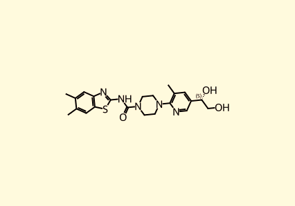 Cc1cc2nc(NC(=O)N3CCN(c4ncc([C@H](O)CO)cc4C)CC3)sc2cc1C